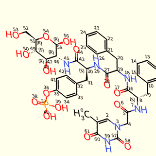 Cc1cn(CC(=O)N[C@@H](Cc2ccccc2)C(=O)NC(Cc2ccccc2)C(=O)N[C@@H](Cc2ccc(OP(=O)(O)O)cc2)C(=O)N[C@@H]2[C@@H](O)[C@H](O)[C@@H](CO)O[C@H]2O)c(=O)[nH]c1=O